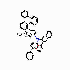 CC1(C)c2cc(N(c3ccc(-c4ccccc4)cc3)c3cc4ccccc4cc3-c3ccccc3)ccc2-c2c(-c3ccccc3-c3ccccc3)cccc21